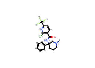 CN1CCCC(NC(=O)c2ccc(C(F)(F)F)nc2Cl)(c2ccccc2)C1